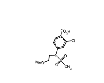 COCCN(c1ccc(C(=O)O)c(Cl)c1)S(C)(=O)=O